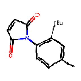 CCCCc1cc(C)ccc1N1C(=O)C=CC1=O